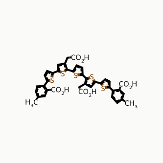 Cc1ccc(-c2ccc(-c3cc(CC(=O)O)c(-c4ccc(-c5sc(-c6ccc(-c7ccc(C)cc7C(=O)O)s6)cc5CC(=O)O)s4)s3)s2)c(C(=O)O)c1